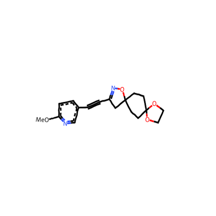 COc1ccc(C#CC2=NOC3(CCC4(CC3)OCCO4)C2)cn1